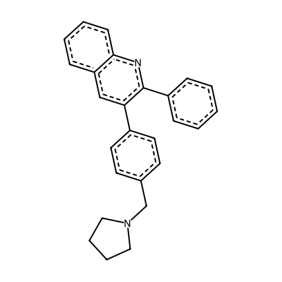 c1ccc(-c2nc3ccccc3cc2-c2ccc(CN3CCCC3)cc2)cc1